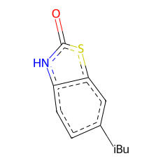 CCC(C)c1ccc2[nH]c(=O)sc2c1